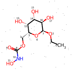 CCO[C@H]1O[C@H](COC(=O)NO)[C@H](O)[C@H](O)[C@H]1O